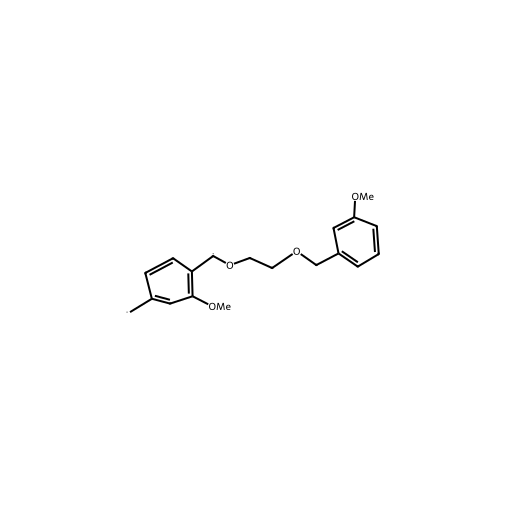 [CH2]c1ccc([CH]OCCOCc2cccc(OC)c2)c(OC)c1